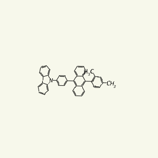 Cc1ccc(-c2c3ccccc3c(-c3ccc(-n4c5ccccc5c5ccccc54)cc3)c3ccccc23)c(C)c1